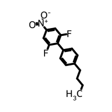 CCCCc1ccc(-c2c(F)cc([N+](=O)[O-])cc2F)cc1